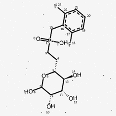 O=P(O)(CC[C@H]1OC(O)[C@@H](O)[C@@H](O)[C@@H]1O)Cc1c(F)cccc1F